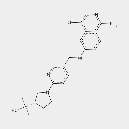 CC(C)(O)[C@H]1CCN(c2ccc(CNc3ccc4c(N)ncc(Cl)c4c3)cn2)C1